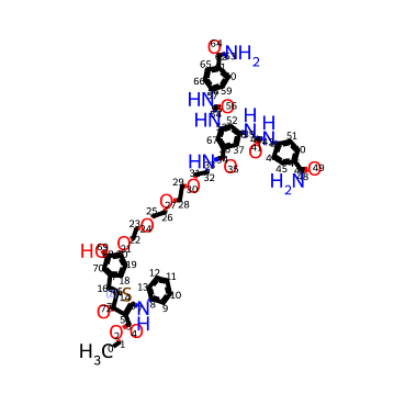 CCOC(=O)C1=C(Nc2ccccc2)S/C(=C\c2ccc(OCCOCCOCCOCCNC(=O)c3cc(NC(=O)Nc4ccc(C(N)=O)cc4)cc(NC(=O)Nc4ccc(C(N)=O)cc4)c3)c(O)c2)C1=O